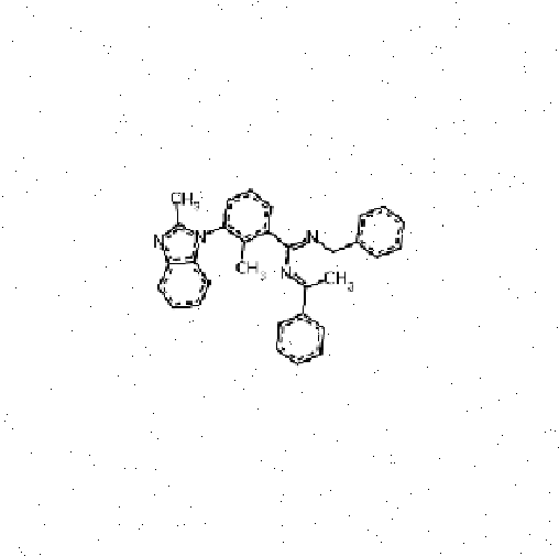 C/C(=N\C(=N/Cc1ccccc1)c1cccc(-n2c(C)nc3ccccc32)c1C)c1ccccc1